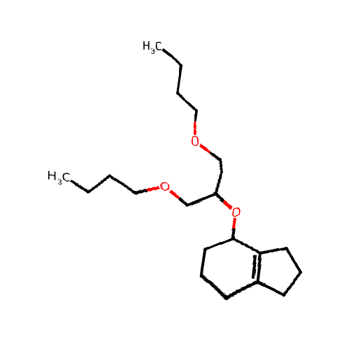 CCCCOCC(COCCCC)OC1CCCC2=C1CCC2